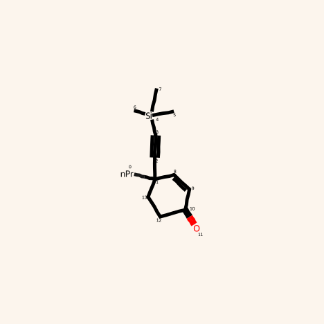 CCCC1(C#C[Si](C)(C)C)C=CC(=O)CC1